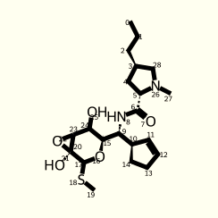 CCC[C@@H]1C[C@@H](C(=O)N[C@H]([C@H]2C=CCC2)[C@H]2OC(SC)[C@@]3(O)OC3C2O)N(C)C1